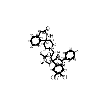 CC(=O)N(C)C[C@](CCN1CCC2(CC1)NC(=O)Cc1ccccc12)(c1ccc(Cl)c(Cl)c1)N(C)C(=O)c1ccccc1